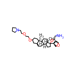 C[C@]12CCC(OCCOCCN3CCCC3)CC1=CC[C@@H]1[C@H]2CC[C@@]2(C)[C@H]1CCC2(OCCN)c1ccoc1